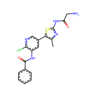 Cc1nc(NC(=O)CN)sc1-c1cnc(Cl)c(NC(=O)c2ccccc2)c1